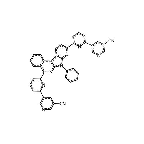 N#Cc1cncc(-c2cccc(-c3ccc4c5c6ccccc6c(-c6cccc(-c7cncc(C#N)c7)n6)cc5n(-c5ccccc5)c4c3)n2)c1